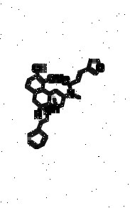 COc1c(O)ccc2c1[C@]13CCN(CCc4ccccc4)[C@H](C2)[C@]1(O)CCC(N(C)C(=O)/C=C/c1ccoc1)C3